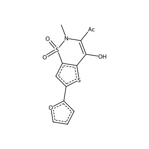 CC(=O)C1=C(O)c2sc(-c3ccco3)cc2S(=O)(=O)N1C